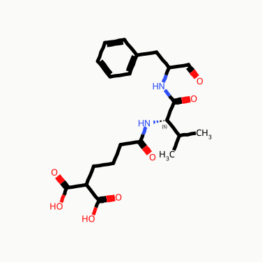 CC(C)[C@H](NC(=O)CCCC(C(=O)O)C(=O)O)C(=O)NC(C=O)Cc1ccccc1